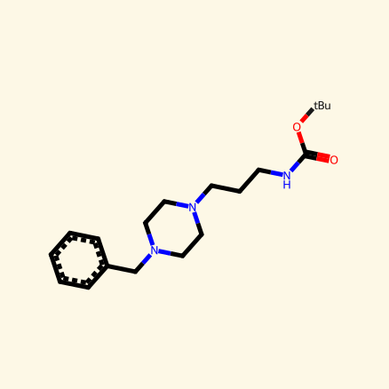 CC(C)(C)OC(=O)NCCCN1CCN(Cc2ccccc2)CC1